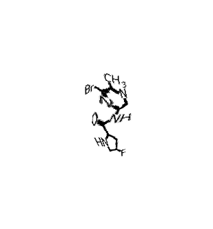 Cc1ncc(NC(=O)C2CC(F)CN2)nc1Br